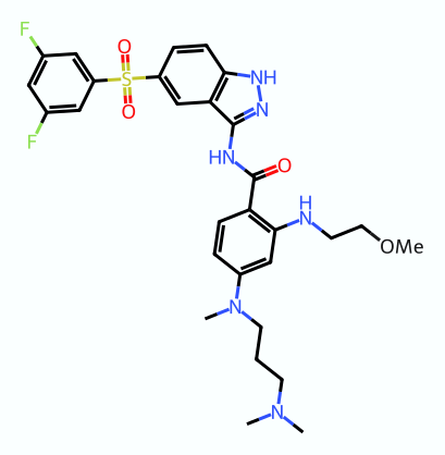 COCCNc1cc(N(C)CCCN(C)C)ccc1C(=O)Nc1n[nH]c2ccc(S(=O)(=O)c3cc(F)cc(F)c3)cc12